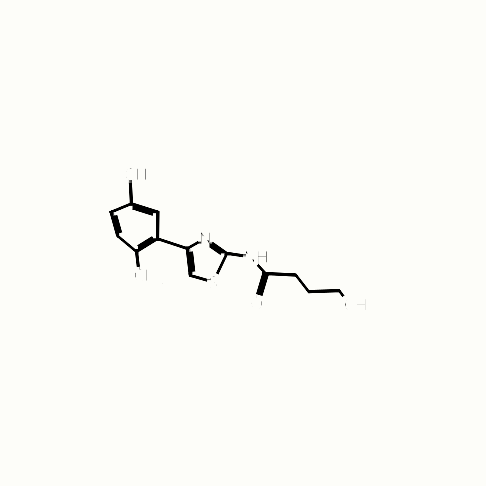 CCCCC(=O)Nc1nc(-c2cc(C)ccc2C)cs1